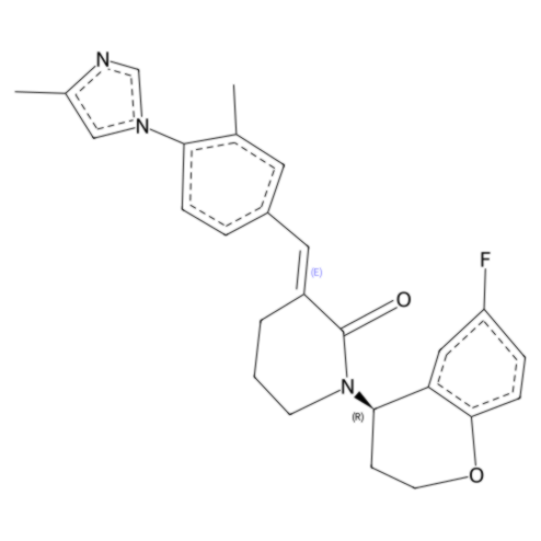 Cc1cn(-c2ccc(/C=C3\CCCN([C@@H]4CCOc5ccc(F)cc54)C3=O)cc2C)cn1